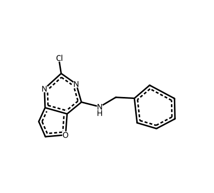 Clc1nc(NCc2ccccc2)c2occc2n1